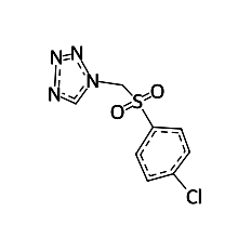 O=S(=O)(Cn1cnnn1)c1ccc(Cl)cc1